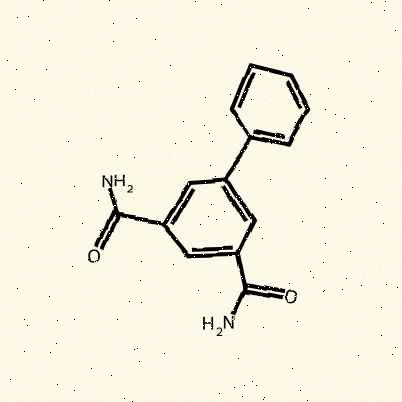 NC(=O)c1cc(C(N)=O)cc(-c2ccccc2)c1